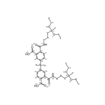 CCO[Si](C)(CCCNC(=O)c1ccc(C(C)(C)c2ccc(C(=O)O)c(C(=O)NCCC[Si](C)(OCC)OCC)c2)cc1C(=O)O)OCC